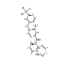 FC(F)(F)c1cccc(Oc2ccc(Nc3ncnc4c3C=[C]CCN4)cc2Cl)c1